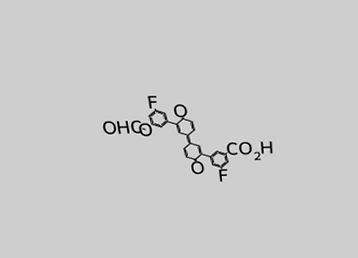 O=COc1cc(F)cc(C2=C/C(=C3\C=CC(=O)C(c4cc(F)cc(C(=O)O)c4)=C3)C=CC2=O)c1